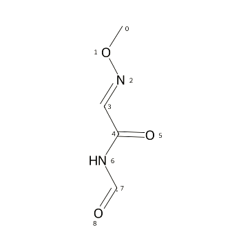 CO/N=C/C(=O)N[C]=O